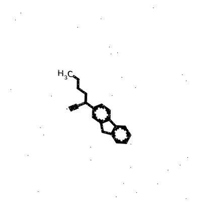 [C]#CC(CCCC)c1ccc2c(c1)Cc1ccccc1-2